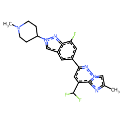 Cc1cn2nc(-c3cc(F)c4nn(C5CCN(C)CC5)cc4c3)cc(C(F)F)c2n1